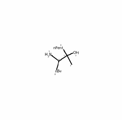 CCCCCC(C)(O)C(N)CCCC